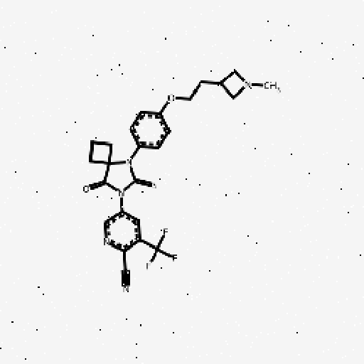 CN1CC(CCOc2ccc(N3C(=S)N(c4cnc(C#N)c(C(F)(F)F)c4)C(=O)C34CCC4)cc2)C1